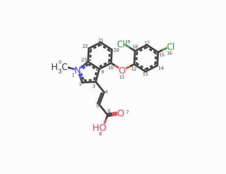 Cn1cc(C=CC(=O)O)c2c(Oc3ccc(Cl)cc3Cl)cccc21